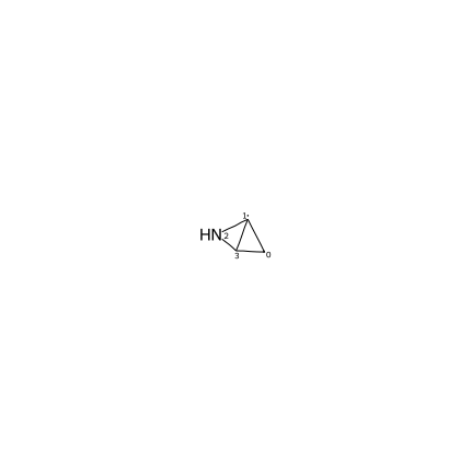 C1[C]2NC12